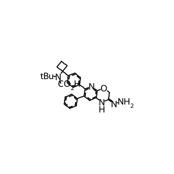 CC(C)(C)N(C(=O)O)C1(c2ccc(-c3nc4c(cc3-c3ccccc3)N/C(=N/N)CO4)cc2)CCC1